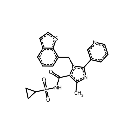 Cc1nc(-c2cccnc2)n(Cc2cccc3ccsc23)c1C(=O)NS(=O)(=O)C1CC1